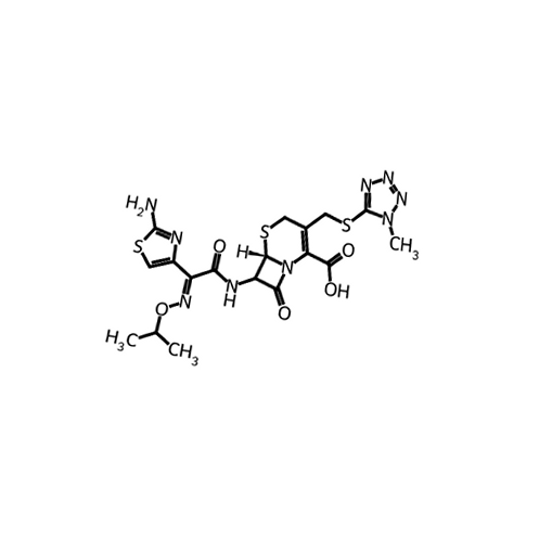 CC(C)ON=C(C(=O)NC1C(=O)N2C(C(=O)O)=C(CSc3nnnn3C)CS[C@@H]12)c1csc(N)n1